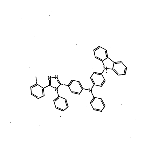 Cc1ccccc1-c1nnc(-c2ccc(N(c3ccccc3)c3ccc(-n4c5ccccc5c5ccccc54)cc3)cc2)n1-c1ccccc1